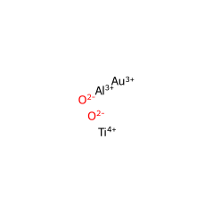 [Al+3].[Au+3].[O-2].[O-2].[Ti+4]